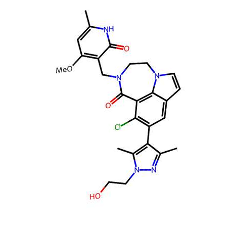 COc1cc(C)[nH]c(=O)c1CN1CCn2ccc3cc(-c4c(C)nn(CCO)c4C)c(Cl)c(c32)C1=O